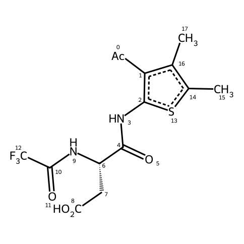 CC(=O)c1c(NC(=O)[C@H](CC(=O)O)NC(=O)C(F)(F)F)sc(C)c1C